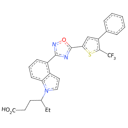 CCC(CCC(=O)O)n1ccc2c(-c3noc(-c4cc(-c5ccccc5)c(C(F)(F)F)s4)n3)cccc21